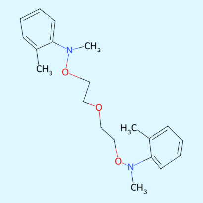 Cc1ccccc1N(C)OCCOCCON(C)c1ccccc1C